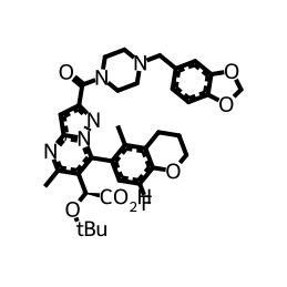 Cc1nc2cc(C(=O)N3CCN(Cc4ccc5c(c4)OCO5)CC3)nn2c(-c2cc(F)c3c(c2C)CCCO3)c1[C@H](OC(C)(C)C)C(=O)O